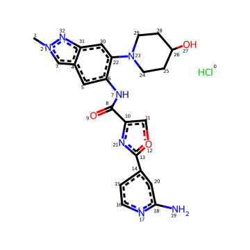 Cl.Cn1cc2cc(NC(=O)c3coc(-c4ccnc(N)c4)n3)c(N3CCC(O)CC3)cc2n1